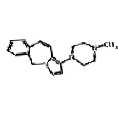 CN1CCN(c2ccn3c2C=Cc2ccccc2C3)CC1